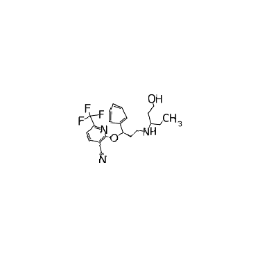 CCC(CCO)NCC[C@@H](Oc1nc(C(F)(F)F)ccc1C#N)c1ccccc1